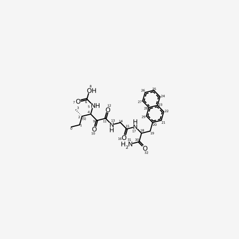 CC[C@H](C)C(NC(=O)O)C(=O)C(=O)NCC(=O)NC(Cc1ccc2ccccc2c1)C(N)=O